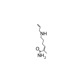 C=CCNCCCC=C(C)C(N)=O